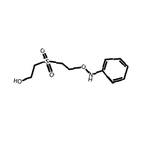 O=S(=O)(CCO)CCONc1ccccc1